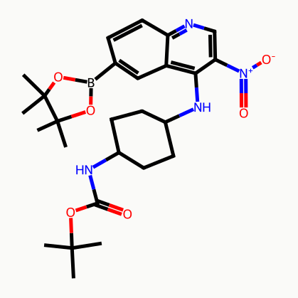 CC(C)(C)OC(=O)NC1CCC(Nc2c([N+](=O)[O-])cnc3ccc(B4OC(C)(C)C(C)(C)O4)cc23)CC1